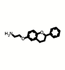 NCCOc1ccc2c(c1)CCC(c1ccccc1)O2